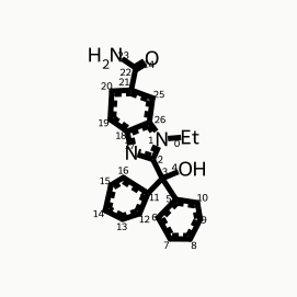 CCn1c(C(O)(c2ccccc2)c2ccccc2)nc2ccc(C(N)=O)cc21